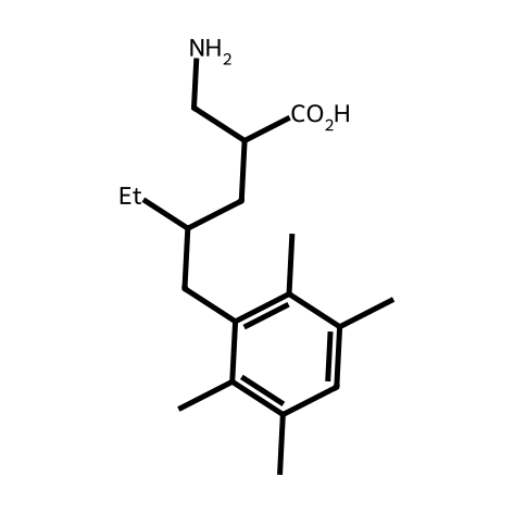 CCC(Cc1c(C)c(C)cc(C)c1C)CC(CN)C(=O)O